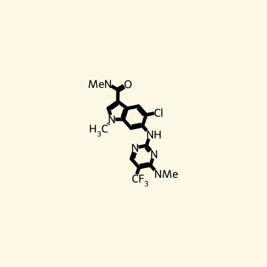 CNC(=O)c1cn(C)c2cc(Nc3ncc(C(F)(F)F)c(NC)n3)c(Cl)cc12